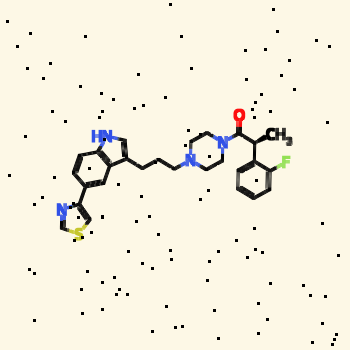 C[C@H](C(=O)N1CCN(CCCc2c[nH]c3ccc(-c4cscn4)cc23)CC1)c1ccccc1F